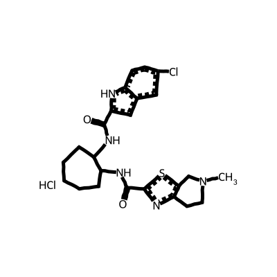 CN1CCc2nc(C(=O)NC3CCCCCC3NC(=O)c3cc4cc(Cl)ccc4[nH]3)sc2C1.Cl